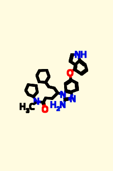 CN(C(=O)CCC(CCC1CCCCC1)n1c(N)nc2ccc(Oc3cccc4[nH]ccc34)cc21)C1CCCCC1